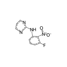 O=[N+]([O-])c1c(F)cccc1Nc1ncccn1